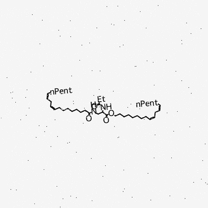 CCCCC/C=C\C/C=C\CCCCCCCCOC(=O)C(CNC(=O)CCCCCCC/C=C\C/C=C\CCCCC)NC(=O)CC